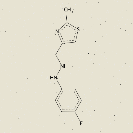 Cc1nc(CNNc2ccc(F)cc2)cs1